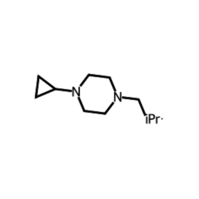 C[C](C)CN1CCN(C2CC2)CC1